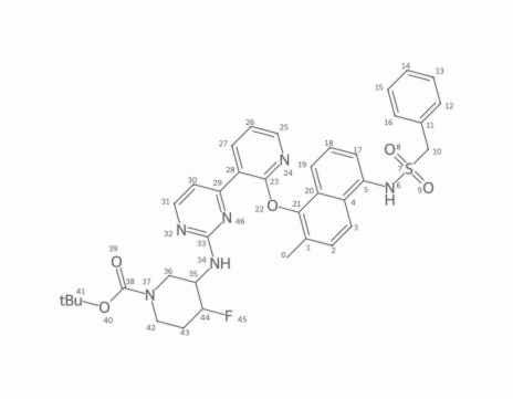 Cc1ccc2c(NS(=O)(=O)Cc3ccccc3)cccc2c1Oc1ncccc1-c1ccnc(NC2CN(C(=O)OC(C)(C)C)CCC2F)n1